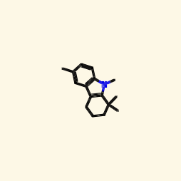 Cc1ccc2c(c1)c1c(n2C)C(C)(C)CCC1